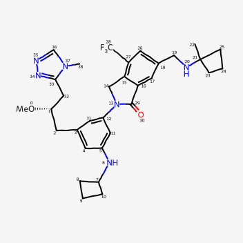 CO[C@@H](Cc1cc(NC2CCC2)cc(N2Cc3c(cc(CNC4(C)CCC4)cc3C(F)(F)F)C2=O)c1)Cc1nncn1C